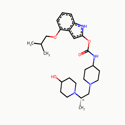 CC(C)COc1cccc2[nH]c(OC(=O)NC3CCN(C[C@H](C)N4CCC(O)CC4)CC3)cc12